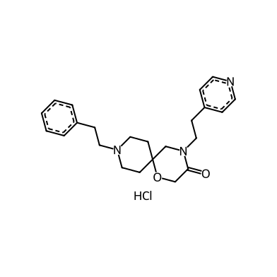 Cl.O=C1COC2(CCN(CCc3ccccc3)CC2)CN1CCc1ccncc1